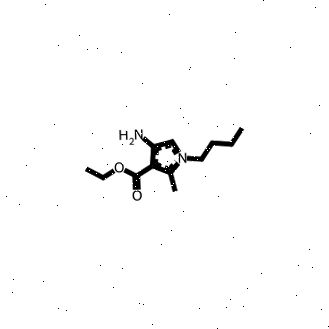 CCCCn1cc(N)c(C(=O)OCC)c1C